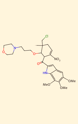 [CH2]C1(CCl)CC=C([N+](=O)[O-])C(C(=O)c2cc3cc(OC)c(OC)c(OC)c3[nH]2)C1OCCCN1CCOCC1